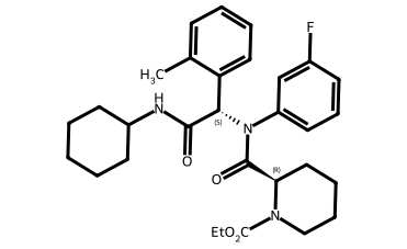 CCOC(=O)N1CCCC[C@@H]1C(=O)N(c1cccc(F)c1)[C@H](C(=O)NC1CCCCC1)c1ccccc1C